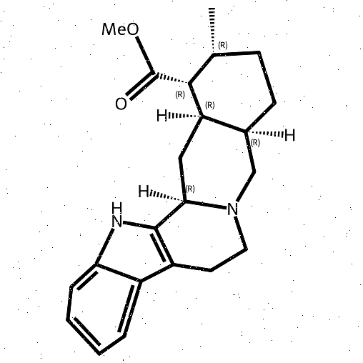 COC(=O)[C@H]1[C@@H]2C[C@@H]3c4[nH]c5ccccc5c4CCN3C[C@@H]2CC[C@H]1C